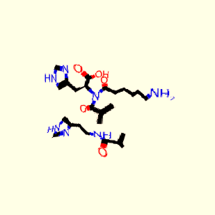 C=C(C)C(=O)N(C(=O)CCCCCN)[C@@H](Cc1c[nH]cn1)C(=O)O.C=C(C)C(=O)NCCc1c[nH]cn1